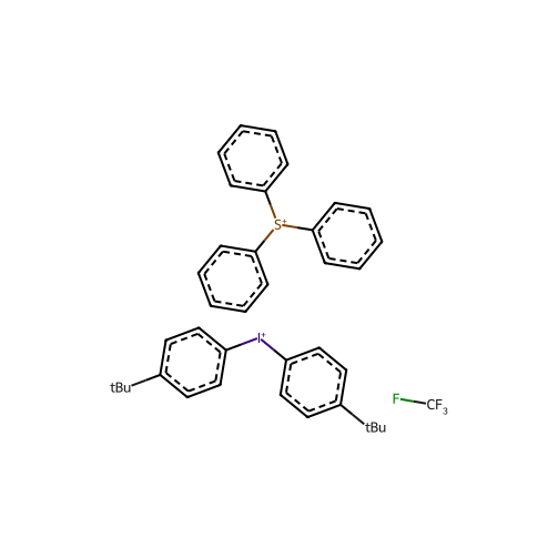 CC(C)(C)c1ccc([I+]c2ccc(C(C)(C)C)cc2)cc1.FC(F)(F)F.c1ccc([S+](c2ccccc2)c2ccccc2)cc1